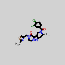 Cc1nc(CN2CCn3nc4c(c3C2=O)CN(C(=O)c2ccc(Cl)c(Cl)c2)[C@H](C)C4)cs1